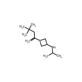 C=C(CC(C)(C)C)N1CC(NC(C)C)C1